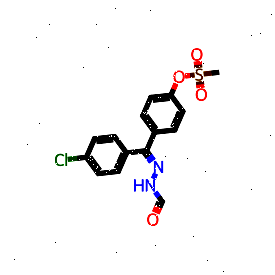 CS(=O)(=O)Oc1ccc(C(=NNC=O)c2ccc(Cl)cc2)cc1